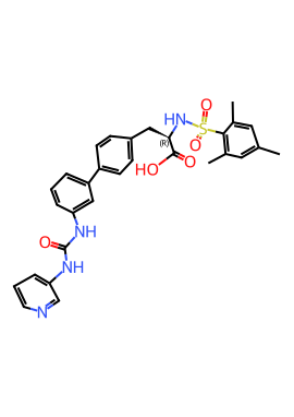 Cc1cc(C)c(S(=O)(=O)N[C@H](Cc2ccc(-c3cccc(NC(=O)Nc4cccnc4)c3)cc2)C(=O)O)c(C)c1